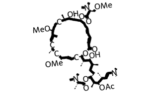 COC[C@@H](C(=O)O[C@@H]1C/C=C/C=C/C(=O)O[C@H]([C@@H](C)[C@@H](O)[C@@H](C)CC[C@@H](OC(=O)[C@H](C)N(C)C)[C@H](C)[C@H](OC(C)=O)[C@H](C)/C=C/N(C)C)C/C=C/[C@H](OC)C[C@H](C)C/C=C(\C)[C@@H](OC)CC[C@@H](C)[C@@H](O)[C@@H]1C)N(C)C